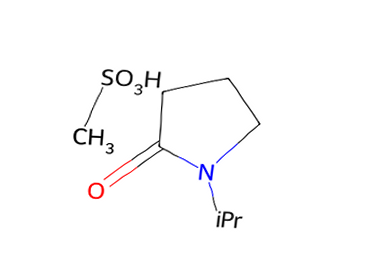 CC(C)N1CCCC1=O.CS(=O)(=O)O